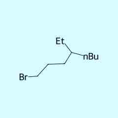 CCCCC(CC)CCCBr